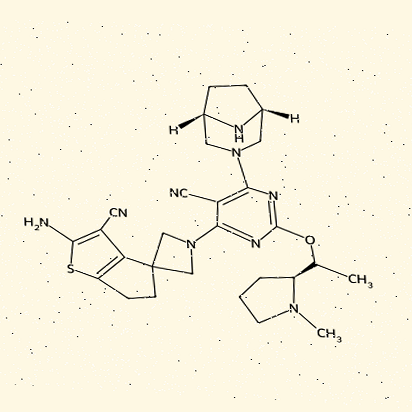 CC(Oc1nc(N2C[C@H]3CC[C@@H](C2)N3)c(C#N)c(N2CC3(CCc4sc(N)c(C#N)c43)C2)n1)[C@@H]1CCCN1C